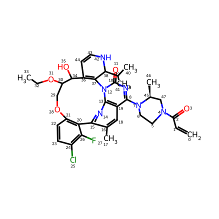 C=CC(=O)N1CCN(c2nc(=O)n3c4nc(c(C)cc24)-c2c(ccc(Cl)c2F)OCC(OCC)C(O)C2=C3C(C(C)C)NC=C2)[C@@H](C)C1